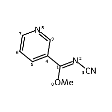 COC(=NC#N)c1cccnc1